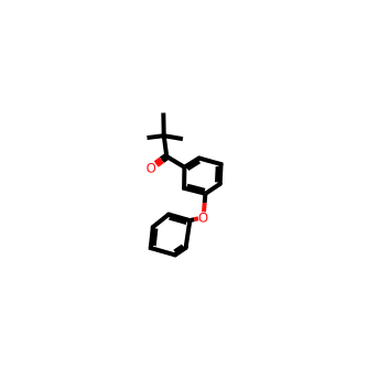 CC(C)(C)C(=O)c1cccc(Oc2ccccc2)c1